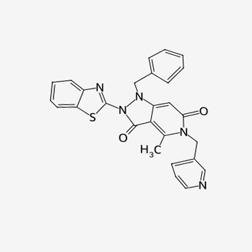 Cc1c2c(=O)n(-c3nc4ccccc4s3)n(Cc3ccccc3)c2cc(=O)n1Cc1cccnc1